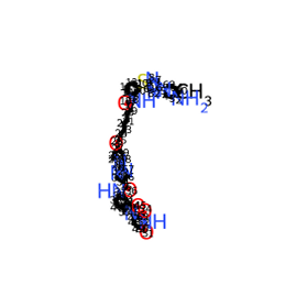 CC1(N)CCN(c2cnc(Sc3cccc(NC(=O)CCCCCCCOC4CCN(c5ncc(C(=O)Nc6ccc7c(c6)C(=O)N(C6CCC(=O)NC6=O)C7)cn5)CC4)c3)cn2)CC1